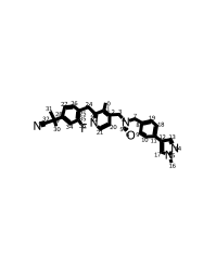 Cc1c(CN(C=O)Cc2ccc(-c3cnn(C)c3)cc2)ccnc1Cc1ccc(C(C)(C)C#N)cc1F